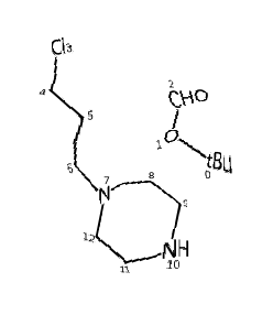 CC(C)(C)OC=O.ClCCCN1CCNCC1